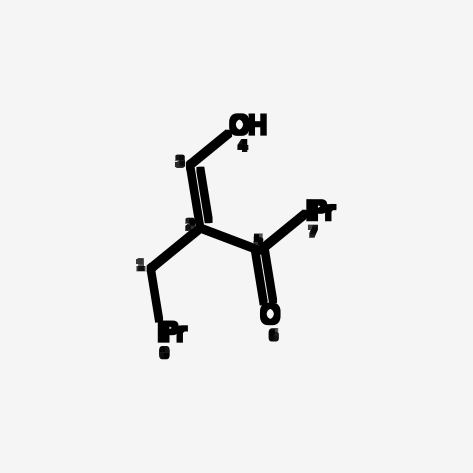 CC(C)CC(=CO)C(=O)C(C)C